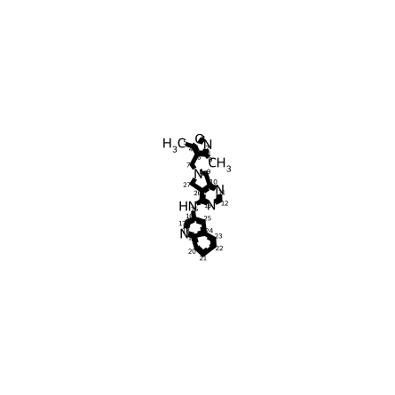 Cc1noc(C)c1CN1Cc2ncnc(Nc3cnc4ccccc4c3)c2C1